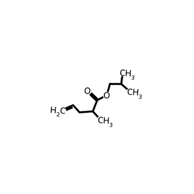 C=CCC(C)C(=O)OCC(C)C